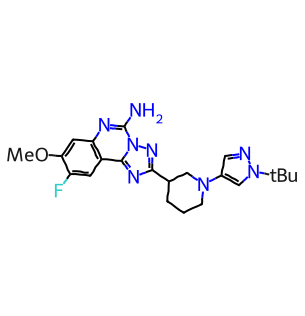 COc1cc2nc(N)n3nc(C4CCCN(c5cnn(C(C)(C)C)c5)C4)nc3c2cc1F